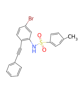 Cc1ccc(S(=O)(=O)Nc2cc(Br)ccc2C#Cc2ccccc2)cc1